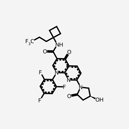 O=C(NC1(CCC(F)(F)F)CCC1)c1cn(-c2c(F)cc(F)cc2F)c2nc(N3C[C@@H](O)CC3=O)ccc2c1=O